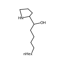 CCCCCCCCCCC(O)C1CCCN1